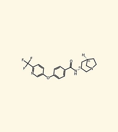 O=C(N[C@@H]1C[C@H]2CCN(C2)C1)c1ccc(Oc2ccc(C(F)(F)F)nc2)cc1